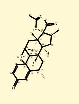 CC(=O)O[C@]1(C(C)=O)[C@@H](C)C[C@H]2[C@@H]3C[C@H](C)C4=CC(=O)C=C[C@]4(C)[C@]34O[C@H]4C[C@@]21C